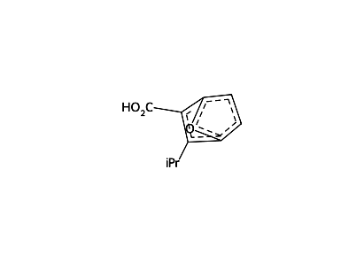 CC(C)c1c(C(=O)O)c2ccc1o2